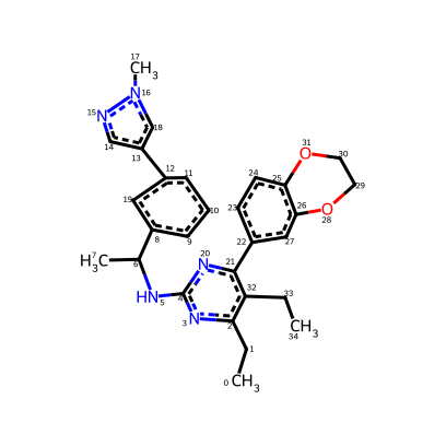 CCc1nc(NC(C)c2cccc(-c3cnn(C)c3)c2)nc(-c2ccc3c(c2)OCCO3)c1CC